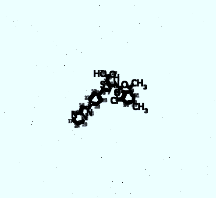 CCOP(=O)(Nc1cc(-c2ccc(-c3cc4ncccn4n3)cc2)sc1C(=O)O)c1ccc(C)cc1Cl